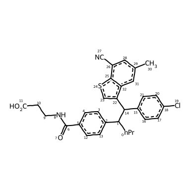 CCCC(c1ccc(C(=O)NCCC(=O)O)cc1)C(c1ccc(Cl)cc1)c1csc2c(C#N)cc(C)cc12